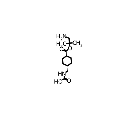 CC(C)(CN)OC(=O)[C@H]1CC[C@H](CNC(=O)O)CC1